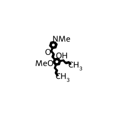 C/C=C/Cc1cc(C/C=C/C)c(OC)c(/C=C/C(=O)c2ccc(NC)cc2)c1O